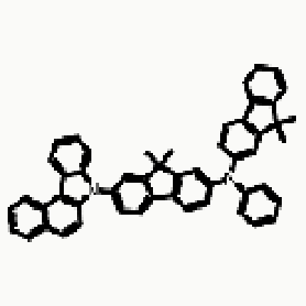 CC1(C)C2=C(CCC=C2)c2ccc(N(c3ccccc3)c3ccc4c(c3)C(C)(C)c3cc(-n5c6ccccc6c6c7ccccc7ccc65)ccc3-4)cc21